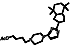 CC(=O)OCCCCN1CCN(c2ccnc(C3CCC4C(C3)C(C)(C)CCC4(C)C)n2)CC1